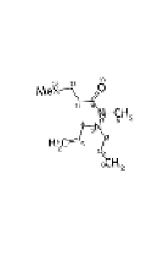 C=CCN(CC=C)N(C)C(=O)CCNC